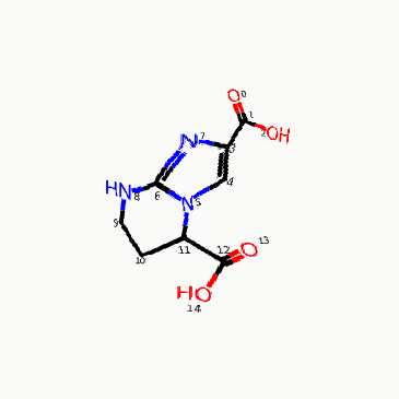 O=C(O)c1cn2c(n1)NCCC2C(=O)O